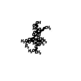 CCCCCC(NC(=O)[C@@H]1C[C@@H](OC(C)(C)C)CN1C(=O)[C@@H](NC(=O)OCC(C)C)C(C)(C)C)C(=O)C(=O)NCC(=O)O